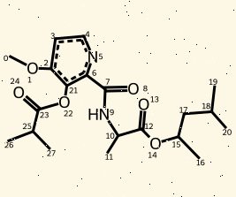 COc1ccnc(C(=O)NC(C)C(=O)OC(C)CC(C)C)c1OC(=O)C(C)C